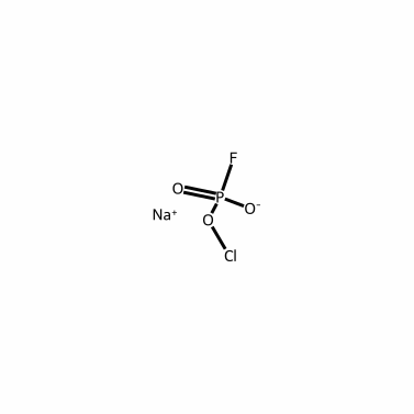 O=P([O-])(F)OCl.[Na+]